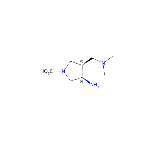 CN(C)C[C@@H]1CN(C(=O)O)C[C@@H]1N